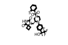 C[C@@](O)(c1ccc(N2CCN(S(=O)(=O)C3=CC=CCC3=S)C[C@@H]2CN2C(=O)NC(=O)C23CCC3)cc1)C(F)(F)F